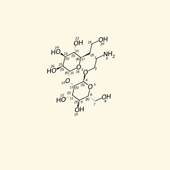 NCCO[C@H]1O[C@H](CO)[C@@H](O)[C@H](O)[C@@H]1O[C@H]1O[C@H](CCO)[C@@H](O)[C@H](O)[C@@H]1O